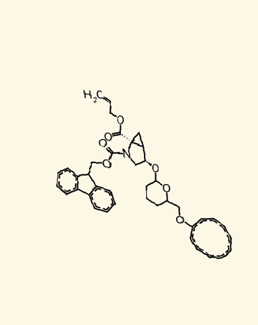 C=CCOC(=O)[C@]12CC1[C@@H](OC1CCCC(COc3ccccccccc3)O1)CN2C(=O)OCC1c2ccccc2-c2ccccc21